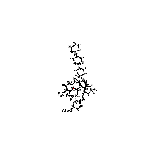 COc1ccc(COC2CC(C)(C)Cc3nc(C4CCN(c5ncc(N6CCOCC6)cn5)CC4)c(C(F)c4ccc(C(F)(F)F)cc4)c(C4CCC(F)(F)CC4)c32)cc1